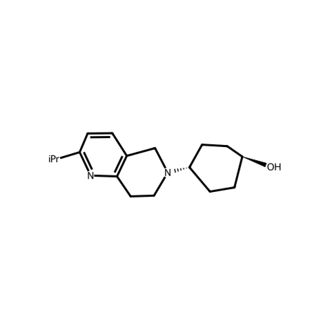 CC(C)c1ccc2c(n1)CCN([C@H]1CC[C@H](O)CC1)C2